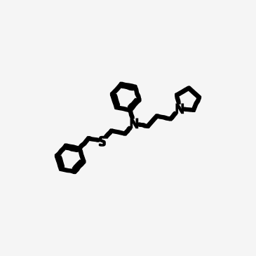 c1ccc(CSCCN(CCCN2CCCC2)c2ccccc2)cc1